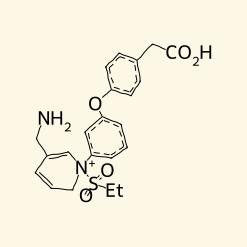 CCS(=O)(=O)[N+]1(c2cccc(Oc3ccc(CC(=O)O)cc3)c2)C=C(CN)C=CC1